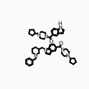 O=C(c1ccc2[nH]ccc2c1)N1CCN(C2CCCC2)CC1.O=C(c1ccc2c(ccn2CC2CCCN(Cc3ccccc3)C2)c1)N1CCN(C2CCCC2)CC1